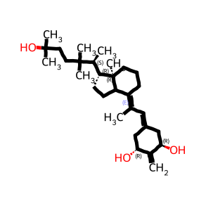 C=C1[C@H](O)CC(=C/C(C)=C2\CCC[C@@]3(C)C2CC[C@@H]3[C@H](C)C(C)(C)CCC(C)(C)O)C[C@H]1O